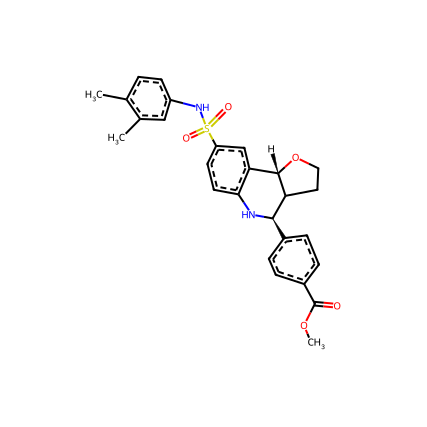 COC(=O)c1ccc([C@H]2Nc3ccc(S(=O)(=O)Nc4ccc(C)c(C)c4)cc3[C@@H]3OCCC23)cc1